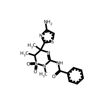 CC1C(C)(c2nc(N)cs2)N=C(NC(=O)c2ccccc2)N(C)S1(=O)=O